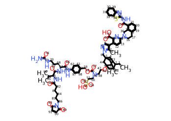 CCC1C2CC3(Cn4ncc(-c5ccc(N6CCc7cccc(C(=O)Nc8nc9ccccc9s8)c7C6)nc5C(=O)O)c4C)CC(OCCN(CCS(=O)(=O)O)C(=O)OCc4ccc(NC(=O)[C@H](CCCNC(N)=O)NC(=O)[C@@H](NC(=O)CCCCCN5C(=O)C=CC5=O)C(C)C)cc4)(C2)CC1(C)C3